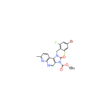 Cc1ccc2c(ncc3c2n(Cc2c(F)cc(Br)cc2F)c(=O)n3C(=O)OC(C)(C)C)n1